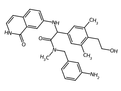 Cc1cc(C(Nc2ccc3cc[nH]c(=O)c3c2)C(=O)N(C)Cc2cccc(N)c2)cc(C)c1CCO